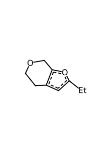 CCc1cc2c(o1)COCC2